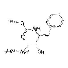 CCCCCCNC[C@@H](O)[C@H](Cc1ccccc1)NC(=O)OC(C)(C)C